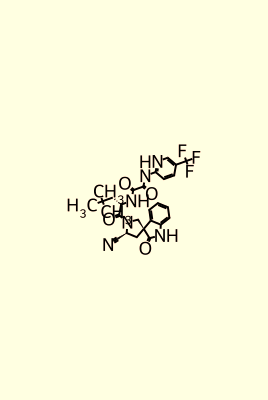 CC(C)(C)C[C@H](NC(=O)C(=O)Nc1ccc(C(F)(F)F)cn1)C(=O)N1C[C@]2(C[C@H]1C#N)C(=O)Nc1ccccc12